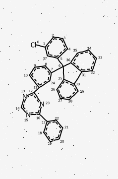 Clc1cccc(C2(c3cccc(-c4ncnc(-c5ccccc5)n4)c3)c3ccccc3-c3ccccc32)c1